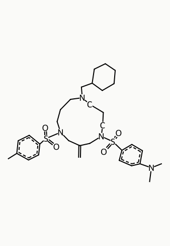 C=C1CN(S(=O)(=O)c2ccc(C)cc2)CCCN(CC2CCCCC2)CCCN(S(=O)(=O)c2ccc(N(C)C)cc2)C1